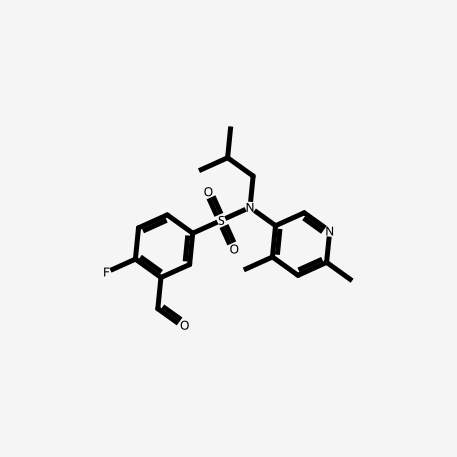 Cc1cc(C)c(N(CC(C)C)S(=O)(=O)c2ccc(F)c(C=O)c2)cn1